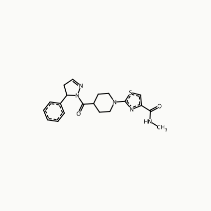 CNC(=O)c1csc(N2CCC(C(=O)N3N=CCC3c3ccccc3)CC2)n1